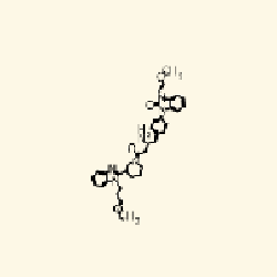 COCCCn1c([C@@H]2CCCN(C(=O)C[C@H](N)Cc3ccc(-n4c(=O)n(CCOC)c5ccccc54)cc3)C2)nc2ccccc21